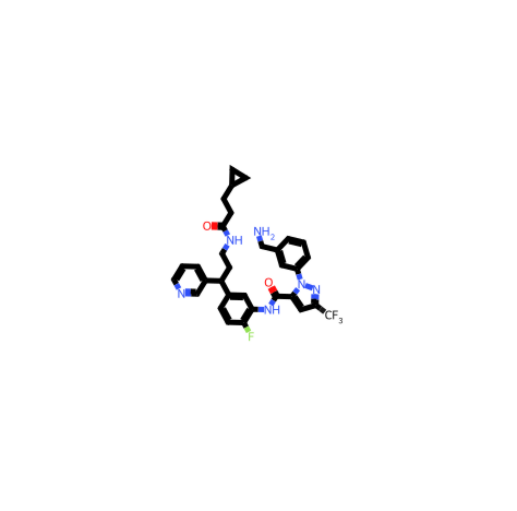 NCc1cccc(-n2nc(C(F)(F)F)cc2C(=O)Nc2cc(C(CCNC(=O)CCC3CC3)c3cccnc3)ccc2F)c1